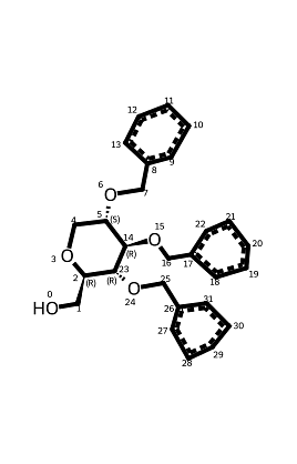 OC[C@H]1OC[C@H](OCc2ccccc2)[C@@H](OCc2ccccc2)[C@@H]1OCc1ccccc1